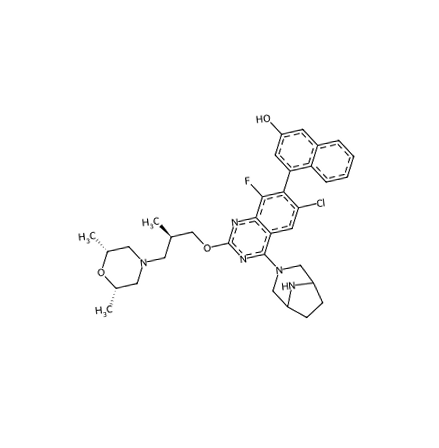 C[C@@H](COc1nc(N2CC3CCC(C2)N3)c2cc(Cl)c(-c3cc(O)cc4ccccc34)c(F)c2n1)CN1C[C@@H](C)O[C@@H](C)C1